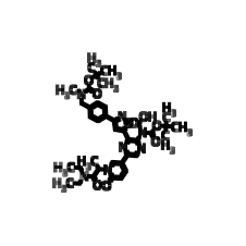 CCN(CC)C(=O)C(C)n1cc(-c2cnc(N(C(=O)O)C(=O)OC(C)(C)C)c(-c3cc(-c4ccc(CN(C)C(=O)OC(C)(C)C)cc4)no3)n2)ccc1=O